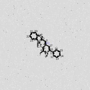 CC[n+]1c(/C=C2\C=C(C)N(C)C(c3ccccc3)=C2)sc2ccccc21